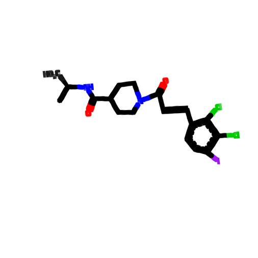 C[C@H](NC(=O)C1CCN(C(=O)/C=C/c2ccc(I)c(Cl)c2Cl)CC1)C(=O)O